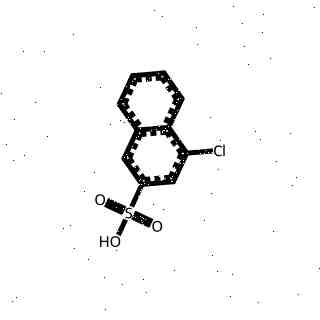 O=S(=O)(O)c1cc(Cl)c2ccccc2c1